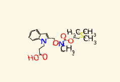 CN(OCc1cc2ccccc2n1CCC(=O)O)C(=O)OCCS(C)(C)C